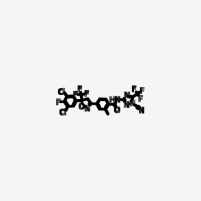 Cc1cc(C2=NOC(c3cc(Cl)c(F)c(Cl)c3)(C(F)(F)F)C2)ccc1C(=O)Nc1nc(C(F)(F)F)n(C#N)n1